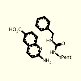 CCCCCNC(=O)NCc1ccccc1.Nc1ccc2cc(C(=O)O)ccc2n1